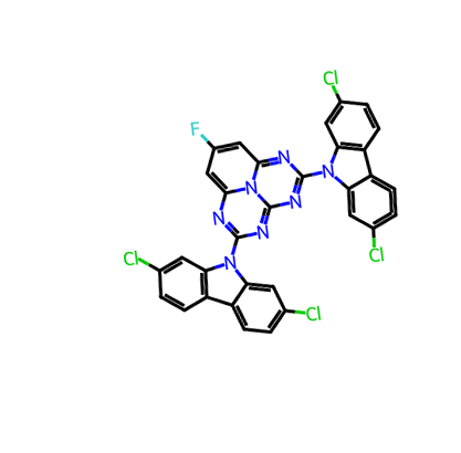 FC1=CC2=NC(n3c4c(c5ccc(Cl)cc53)=C=C=C(Cl)C=4)=NC3=NC(n4c5cc(Cl)ccc5c5ccc(Cl)cc54)=NC(=C1)N23